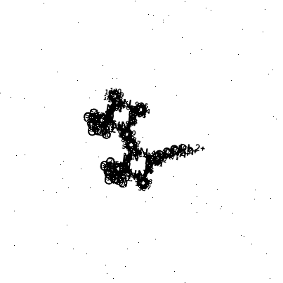 O=S(=O)([O-])c1cc2c3nc4nc(nc5[nH]c(nc6nc(nc([nH]3)c2c(S(=O)(=O)[O-])c1S(=O)(=O)[O-])-c1ccccc1-6)c1ccccc51)-c1ccccc1-4.O=S(=O)([O-])c1cc2c3nc4nc(nc5[nH]c(nc6nc(nc([nH]3)c2c(S(=O)(=O)[O-])c1S(=O)(=O)[O-])-c1ccccc1-6)c1ccccc51)-c1ccccc1-4.[Cl][Rh+2].[Cl][Rh+2].[Cl][Rh+2]